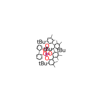 Cc1cc(C(C)(C)C)c2c(c1C)-c1c(C)c(C)cc(C(C)(C)C)c1O[P@](Oc1ccccc1-c1ccccc1Op1oc3c(CC(C)(C)C)cc(C)c(C)c3c3c(C)c(C)cc(C(C)(C)C)c3o1)CC2